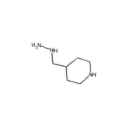 NNCC1CCNCC1